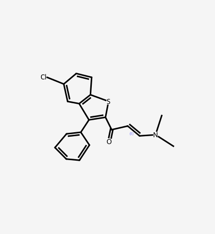 CN(C)/C=C/C(=O)c1sc2ccc(Cl)cc2c1-c1ccccc1